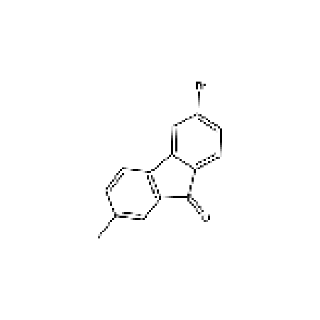 Cc1ccc2c(c1)C(=O)c1ccc(Br)cc1-2